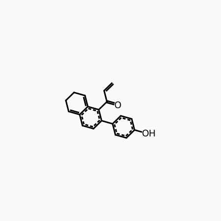 C=CC(=O)c1c(-c2ccc(O)cc2)ccc2c1=CCCC=2